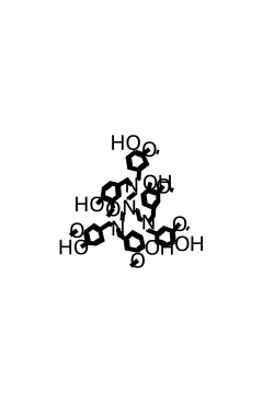 COc1cc(CN(CCN(CCN(Cc2ccc(O)c(OC)c2)Cc2ccc(O)c(OC)c2)CCN(Cc2ccc(O)c(OC)c2)Cc2ccc(O)c(OC)c2)Cc2ccc(O)c(OC)c2)ccc1O